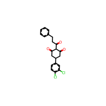 O=C(CCc1ccccc1)C1C(=O)CC(c2ccc(Cl)c(Cl)c2)CC1=O